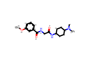 CC(C)N(C)C1CCC(NC(=O)CNC(=O)c2cccc(OC(C)(C)C)c2)CC1